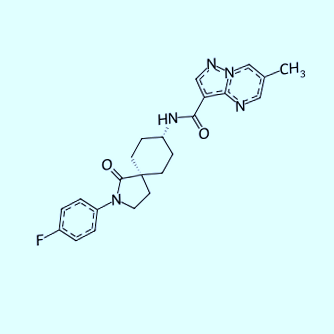 Cc1cnc2c(C(=O)N[C@H]3CC[C@@]4(CCN(c5ccc(F)cc5)C4=O)CC3)cnn2c1